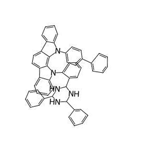 c1ccc(-c2ccc(-n3c4ccccc4c4ccc5c6ccccc6n(-c6ccccc6C6NC(c7ccccc7)NC(c7ccccc7)N6)c5c43)cc2)cc1